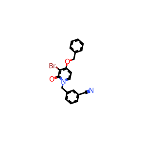 N#Cc1cccc(Cn2ccc(OCc3ccccc3)c(Br)c2=O)c1